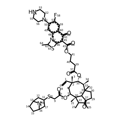 C=C[C@@]1(C)C[C@H](OC(=O)CSC2CC3CCC(C2)N3C)[C@@](C)(C(C)CC)C2C(=O)CCC2(C)[C@H](C)[C@H]1OC(=O)CCCOC(=O)c1c2n(c3cc(N4CCNCC4)c(F)cc3c1=O)C(C)S2